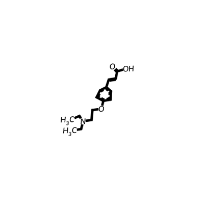 CCN(CC)CCOc1ccc(C=CC(=O)O)cc1